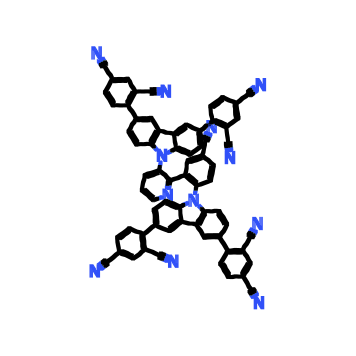 N#Cc1ccc(-c2ccc3c(c2)c2cc(-c4ccc(C#N)cc4C#N)ccc2n3-c2ccc(C#N)cc2-c2ncccc2-n2c3ccc(-c4ccc(C#N)cc4C#N)cc3c3cc(-c4ccc(C#N)cc4C#N)ccc32)c(C#N)c1